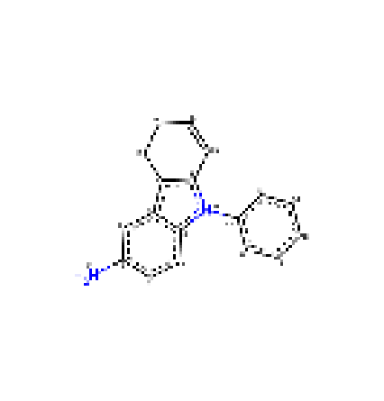 Nc1ccc2c(c1)c1c(n2-c2ccccc2)C=CCC1